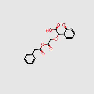 O=C(COC(C(=O)O)C1C=CC=CC1=O)OC(=O)Cc1ccccc1